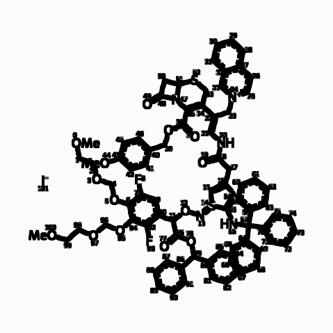 COCCOCOc1c(F)cc(C(ON=S2C=C(CC(=O)NC=C(C[n+]3ccc4ccccc4c3)C3=C(C(=O)OCc4ccc(OC)cc4)N4C(=O)CC4SC3)N=C2NC(c2ccccc2)(c2ccccc2)c2ccccc2)C(=O)OC(c2ccccc2)c2ccccc2)c(F)c1OCOCCOC.[I-]